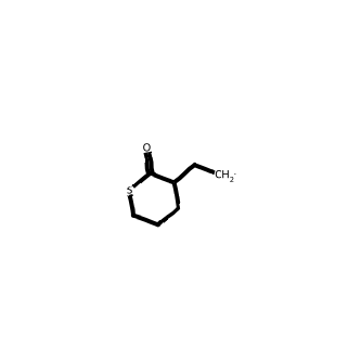 [CH2]CC1CCCSC1=O